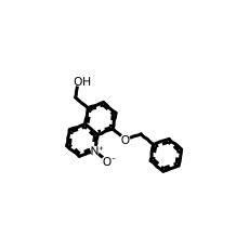 [O-][n+]1cccc2c(CO)ccc(OCc3ccccc3)c21